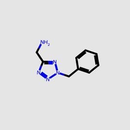 NCc1nnn(Cc2ccccc2)n1